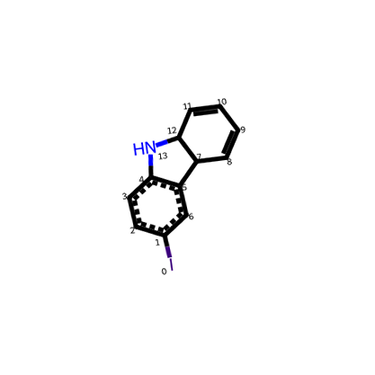 Ic1ccc2c(c1)C1C=CC=CC1N2